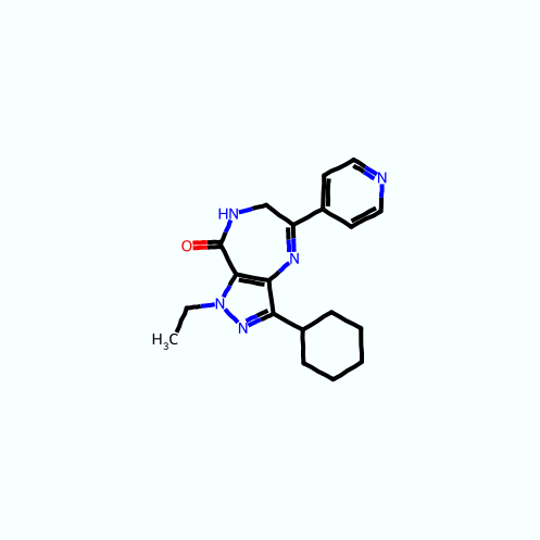 CCn1nc(C2CCCCC2)c2c1C(=O)NCC(c1ccncc1)=N2